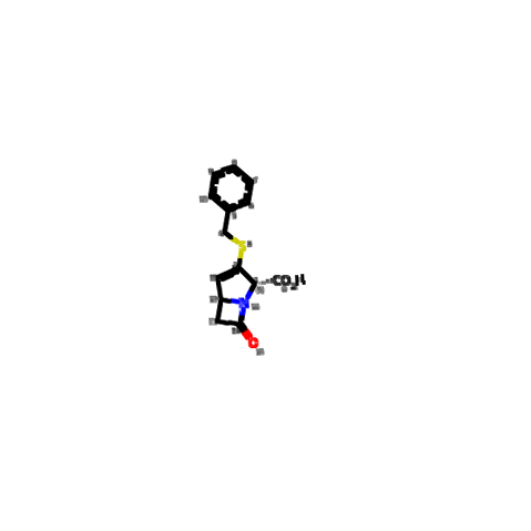 O=C(O)[C@H]1C(SCc2ccccc2)=CC2CC(=O)N21